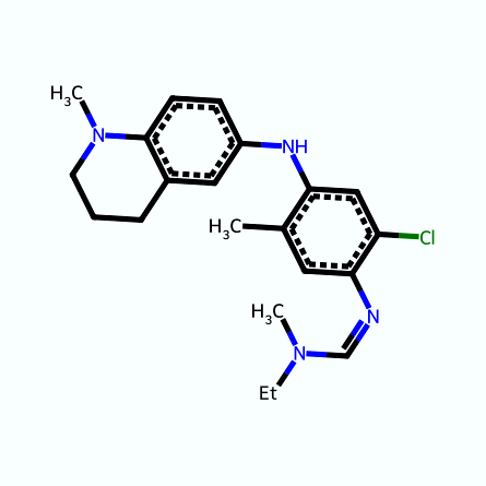 CCN(C)/C=N\c1cc(C)c(Nc2ccc3c(c2)CCCN3C)cc1Cl